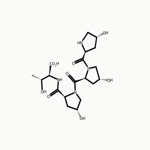 C[C@@H](O)[C@H](NC(=O)[C@@H]1C[C@@H](O)CN1C(=O)[C@@H]1C[C@@H](O)CN1C(=O)[C@@H]1C[C@@H](O)CN1)C(=O)O